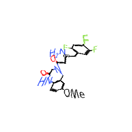 COc1ccc2c(c1)CN(C(=O)C[C@H](N)Cc1cc(F)c(F)cc1F)CC(=O)N2